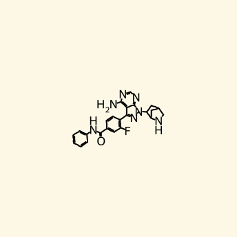 Nc1ncnc2c1c(-c1ccc(C(=O)Nc3ccccc3)cc1F)nn2C1CC2CNC1C2